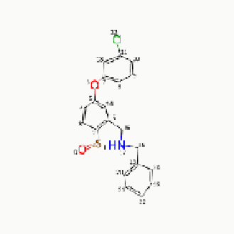 O=[S+]c1ccc(Oc2cccc(Cl)c2)cc1CNCc1ccccc1